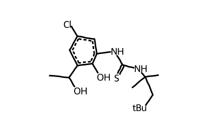 CC(O)c1cc(Cl)cc(NC(=S)NC(C)(C)CC(C)(C)C)c1O